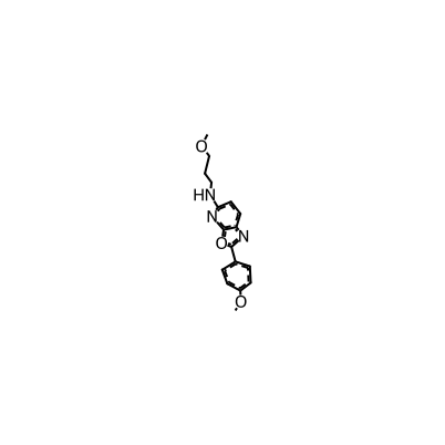 COCCCNc1ccc2nc(-c3ccc(OC)cc3)oc2n1